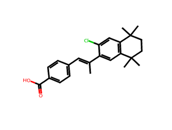 C/C(=C\c1ccc(C(=O)O)cc1)c1cc2c(cc1Cl)C(C)(C)CCC2(C)C